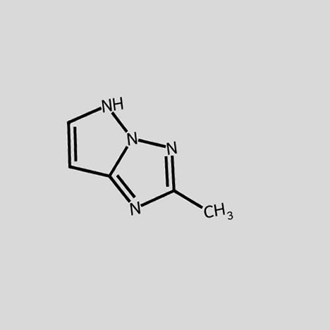 Cc1nc2cc[nH]n2n1